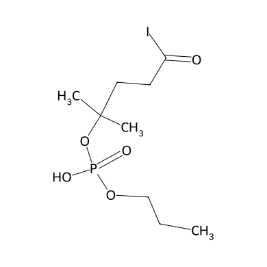 CCCOP(=O)(O)OC(C)(C)CCC(=O)I